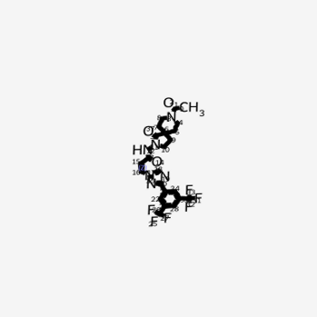 CC(=O)N1CCC2(CC1)CCN(NC(=O)/C=C\n1cnc(-c3cc(C(F)(F)F)cc(C(F)(F)F)c3)n1)C2=O